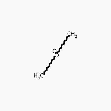 C=CCCCCCCCCC(=O)OCCCCCCCCCCC